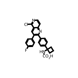 O=C(O)NC1(c2ccc(-c3nc4ccnc(Cl)c4cc3-c3ccc(F)cc3)cc2)CCC1